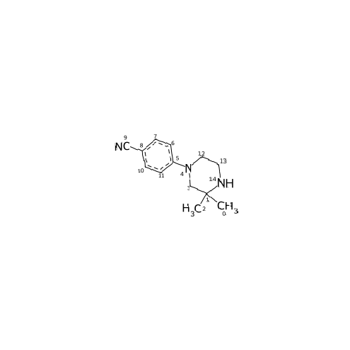 CC1(C)CN(c2ccc(C#N)cc2)CCN1